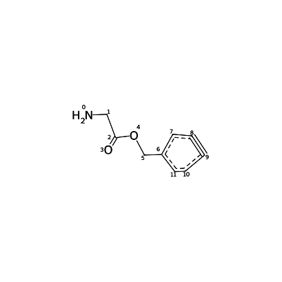 NCC(=O)OCc1cc#ccc1